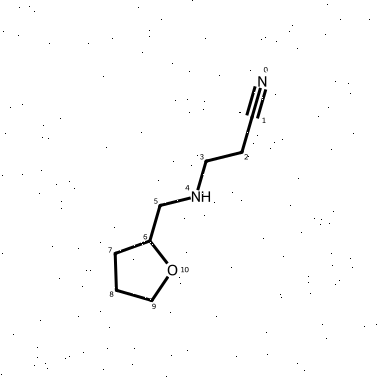 N#CCCNCC1CCCO1